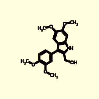 COc1ccc(-c2c(CO)[nH]c3cc(OC)c(OC)cc23)cc1OC